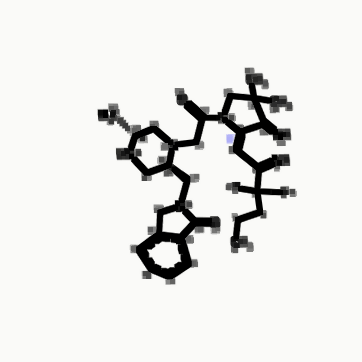 CCCC(F)(F)C(=N)/C=C1\C(=N)C(C)(C)CN1C(=O)CN1C[C@@H](C)NC[C@@H]1CN1Cc2ccccc2C1=O